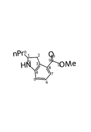 CCCC1Cc2c(cccc2C(=O)OC)N1